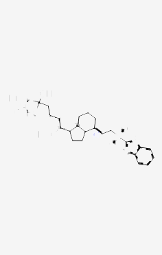 CC[Si](CC)(CC)OC(C)(C)CCC[C@@H](C)C1CCC2/C(=C/CS(=O)(=O)c3nc4ccccc4s3)CCC[C@@]21C